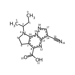 CCC(C)N1CCc2c(C(=O)O)nc3c(C#N)cnn3c21